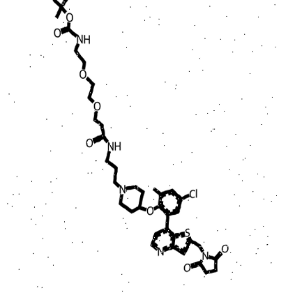 Cc1cc(Cl)cc(-c2ccnc3cc(CN4C(=O)CCC4=O)sc23)c1OC1CCN(CCCNC(=O)CCOCCOCCNC(=O)OC(C)(C)C)CC1